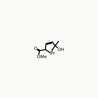 COC(=O)C(/C=C\C(C)(C)O)C(C)C